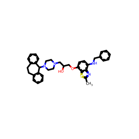 Cc1nc2c(NCc3ccccc3)ccc(OCC(O)CN3CCN(C4c5ccccc5CCc5ccccc54)CC3)c2s1